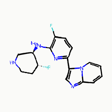 Fc1ccc(-c2cnc3ccccn23)nc1N[C@@H]1CNCC[C@H]1F